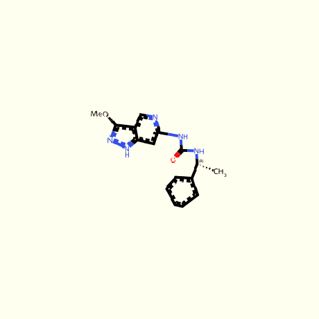 COc1n[nH]c2cc(NC(=O)N[C@H](C)c3ccccc3)ncc12